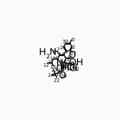 Cc1ccc(C2=C(CN)C(CC(C)C)=NC(C)(COC(=O)C(C)(C)C)C2C(=O)O)cc1.Cl.Cl